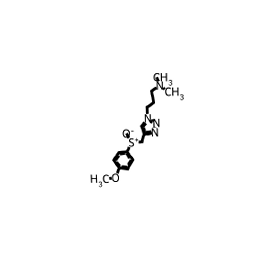 COc1ccc([S+]([O-])Cc2cn(CCCN(C)C)nn2)cc1